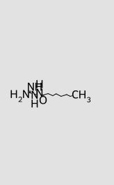 CCCCCCCC(=O)NNC(=N)N